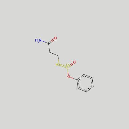 NC(=O)CC/[SH]=[SH](=O)/Oc1ccccc1